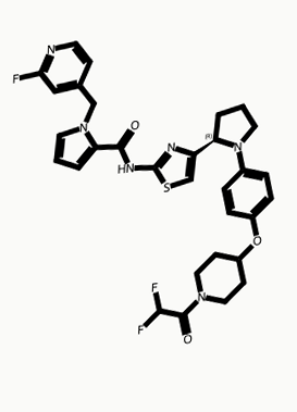 O=C(Nc1nc([C@H]2CCCN2c2ccc(OC3CCN(C(=O)C(F)F)CC3)cc2)cs1)c1cccn1Cc1ccnc(F)c1